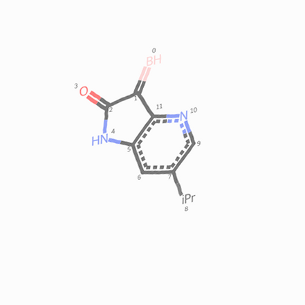 B=C1C(=O)Nc2cc(C(C)C)cnc21